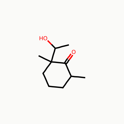 CC1CCCC(C)(C(C)O)C1=O